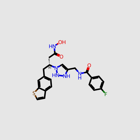 O=C(C[C@@H](Cc1ccc2ccsc2c1)N1C=C(CNC(=O)c2ccc(F)cc2)NN1)NO